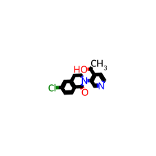 CC(O)c1ccncc1N1CCc2cc(Cl)ccc2C1=O